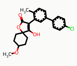 COC1CCC2(CC1)OC(=O)C(c1cc(-c3ccc(Cl)cc3)ccc1C)=C2O